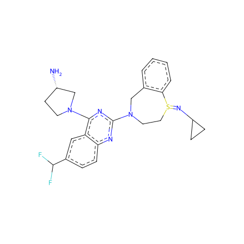 N[C@H]1CCN(c2nc(N3CCS(=NC4CC4)c4ccccc4C3)nc3ccc(C(F)F)cc23)C1